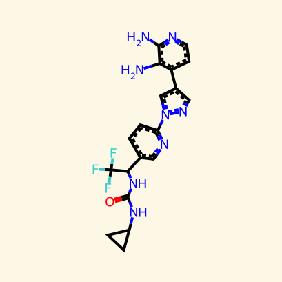 Nc1nccc(-c2cnn(-c3ccc(C(NC(=O)NC4CC4)C(F)(F)F)cn3)c2)c1N